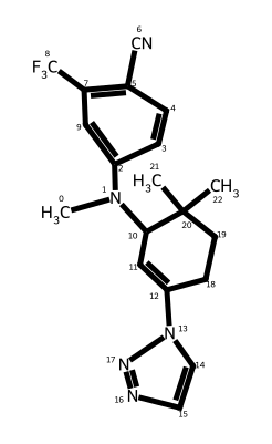 CN(c1ccc(C#N)c(C(F)(F)F)c1)C1C=C(n2ccnn2)CCC1(C)C